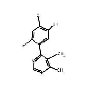 Cc1ncnc(-c2cc(O)c(Cl)cc2F)c1C